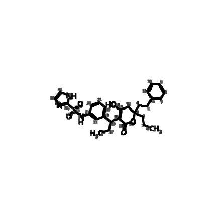 CCCC1(CCc2ccccc2)CC(O)=C(C(CC)c2cccc(NS(=O)(=O)c3ncc[nH]3)c2)C(=O)O1